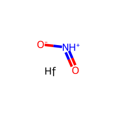 O=[NH+][O-].[Hf]